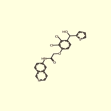 O=C(COc1ccc(C(O)c2cccs2)c(Cl)c1Cl)Nc1ccc2cnccc2c1